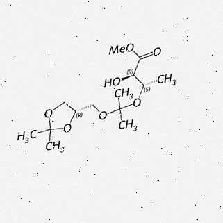 COC(=O)[C@H](O)[C@H](C)OC(C)(C)OC[C@H]1COC(C)(C)O1